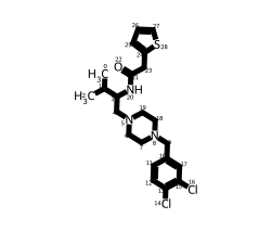 CC(C)C(CN1CCN(Cc2ccc(Cl)c(Cl)c2)CC1)NC(=O)Cc1cccs1